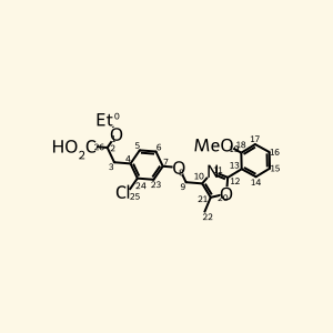 CCOC(Cc1ccc(OCc2nc(-c3ccccc3OC)oc2C)cc1Cl)C(=O)O